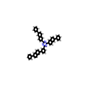 c1ccc(-c2ccc3cc(-c4cccc(-c5nc(-c6ccc7cc(-c8ccccc8)ccc7c6)nc(-c6ccc7cc(-c8ccccc8)ccc7c6)n5)c4)ccc3c2)cc1